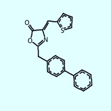 O=C1OC(Cc2ccc(-c3ccccc3)cc2)=NC1=Cc1cccs1